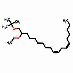 CCCCC/C=C\C/C=C\CCCCCCCC(COC(C)(C)C)OCC